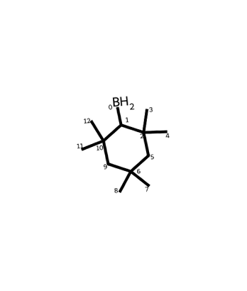 BC1C(C)(C)CC(C)(C)CC1(C)C